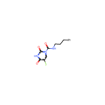 CC(C)CCCNC(=O)n1cc(F)c(=O)[nH]c1=O